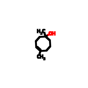 CC1=CCCC(C)(O)CCC1